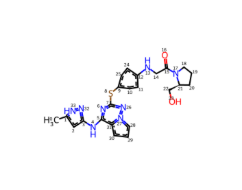 Cc1cc(Nc2nc(Sc3ccc(NCC(=O)N4CCC[C@H]4CO)cc3)nn3cccc23)n[nH]1